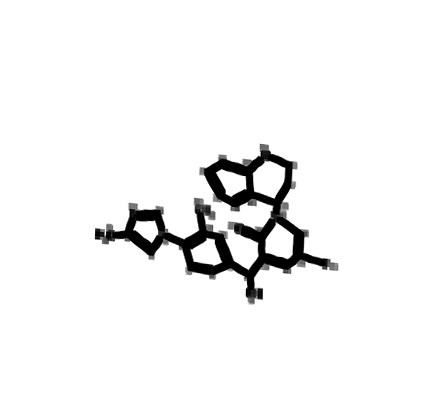 Cc1cn(-c2ccc(C(O)c3cc(F)cn(C4CCOc5ccccc54)c3=O)cc2C)cn1